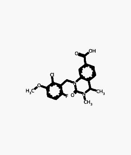 COc1ccc(F)c(CN2C(=O)N(C)C(C)c3ccc(C(=O)O)cc32)c1Cl